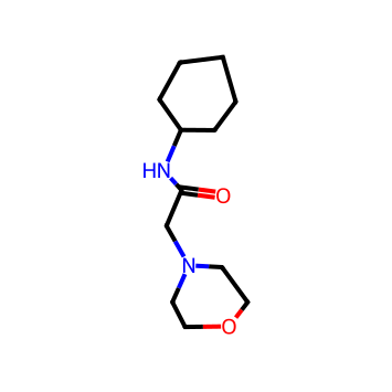 O=C(CN1CCOCC1)NC1CCCCC1